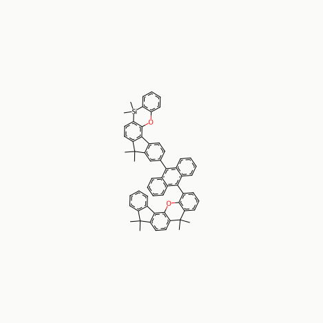 CC1(C)c2cccc(-c3c4ccccc4c(-c4ccc5c(c4)C(C)(C)c4ccc6c(c4-5)Oc4ccccc4[Si]6(C)C)c4ccccc34)c2Oc2c1ccc1c2-c2ccccc2C1(C)C